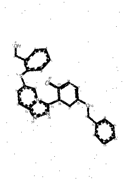 OCc1ccccc1Sc1ccc2nnc(C3CC(OCc4ccccc4)=CC=C3Cl)n2c1